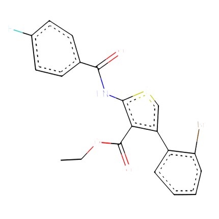 CCOC(=O)c1c(-c2ccccc2Br)csc1NC(=O)c1ccc(F)cc1